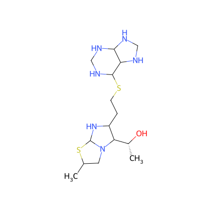 CC1CN2C(NC(CCSC3NCNC4NCNC43)C2[C@@H](C)O)S1